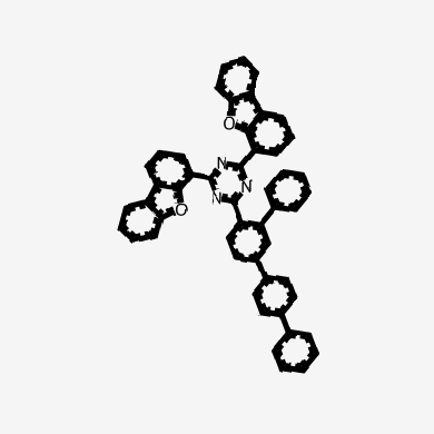 c1ccc(-c2ccc(-c3ccc(-c4nc(-c5cccc6c5oc5ccccc56)nc(-c5cccc6c5oc5ccccc56)n4)c(-c4ccccc4)c3)cc2)cc1